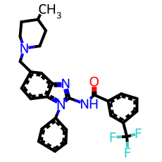 CC1CCN(Cc2ccc3c(c2)nc(NC(=O)c2cccc(C(F)(F)F)c2)n3-c2ccccc2)CC1